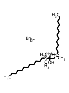 CCCCCCCCCCCC[N+](C)(C)CC(O)(O)[N+](C)(C)CCCCCCCCCCCC.[Br-].[Br-]